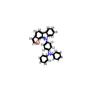 c1ccc(N(c2ccccc2)c2ccc(-n3c4ccccc4c4ccc5ccoc5c43)cc2)cc1